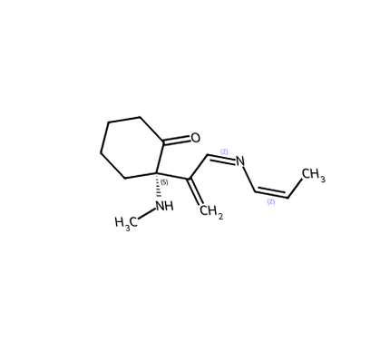 C=C(/C=N\C=C/C)[C@@]1(NC)CCCCC1=O